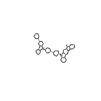 c1ccc(-c2ccc3c(c2)c2ccccc2n3-c2ccc(-c3ccc(-n4c5ccccc5c5cc6c(cc54)sc4ccccc46)cc3)cc2)cc1